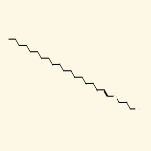 CCCCCCCCCCCCCCCCCC=CNCCCO